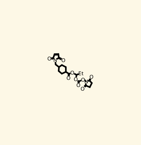 CCC(OC(=O)ON1C(=O)CCC1=O)OC(=O)C1CCC(CN2C(=O)C=CC2=O)CC1